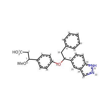 COC(CC(=O)O)c1ccc(OC(Cc2ccccc2)c2ccc3[nH]ncc3c2)cc1